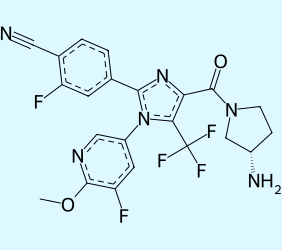 COc1ncc(-n2c(-c3ccc(C#N)c(F)c3)nc(C(=O)N3CC[C@H](N)C3)c2C(F)(F)F)cc1F